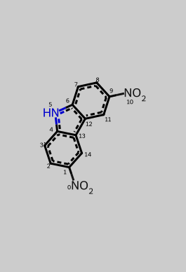 O=[N+]([O-])c1c[c]c2[nH]c3ccc([N+](=O)[O-])cc3c2c1